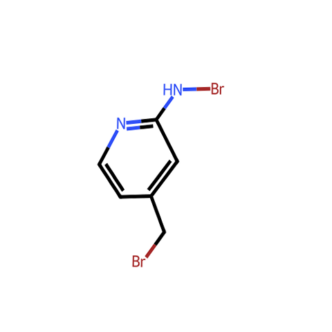 BrCc1ccnc(NBr)c1